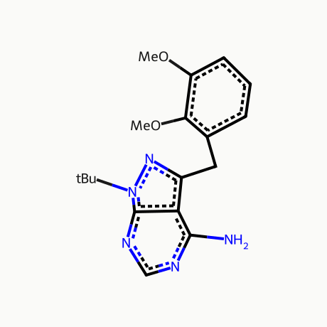 COc1cccc(Cc2nn(C(C)(C)C)c3ncnc(N)c23)c1OC